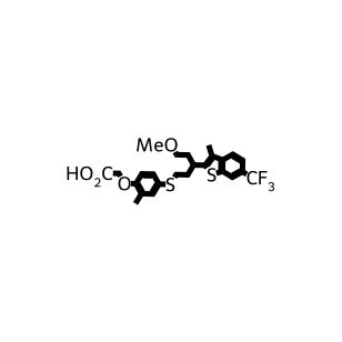 COCCC(CCSc1ccc(OCC(=O)O)c(C)c1)c1sc2cc(C(F)(F)F)ccc2c1C